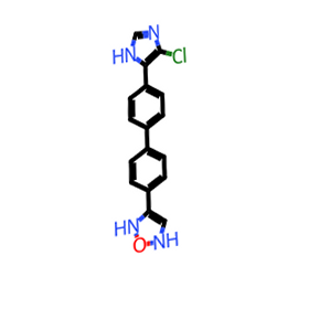 Clc1nc[nH]c1-c1ccc(-c2ccc(C3=CNON3)cc2)cc1